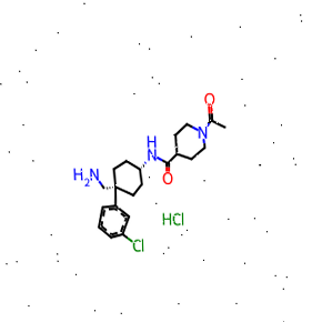 CC(=O)N1CCC(C(=O)N[C@H]2CC[C@](CN)(c3cccc(Cl)c3)CC2)CC1.Cl